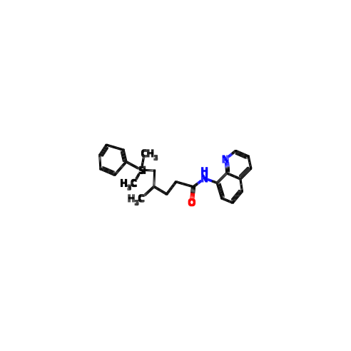 CC(CCC(=O)Nc1cccc2cccnc12)C[Si](C)(C)c1ccccc1